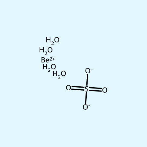 O.O.O.O.O=S(=O)([O-])[O-].[Be+2]